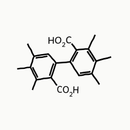 Cc1cc(-c2cc(C)c(C)c(C)c2C(=O)O)c(C(=O)O)c(C)c1C